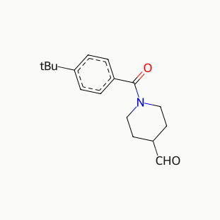 CC(C)(C)c1ccc(C(=O)N2CCC(C=O)CC2)cc1